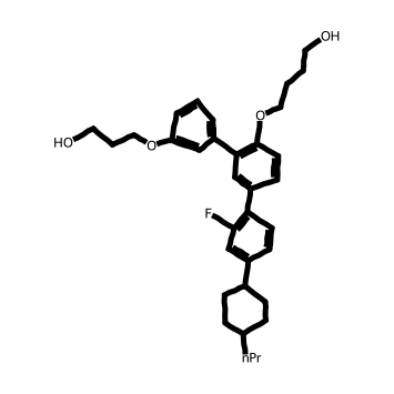 CCCC1CCC(c2ccc(-c3ccc(OCCCCO)c(-c4cccc(OCCCO)c4)c3)c(F)c2)CC1